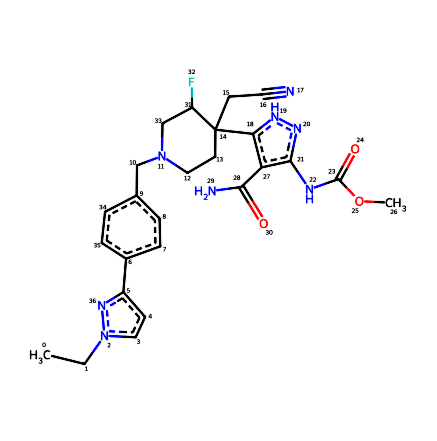 CCn1ccc(-c2ccc(CN3CCC(CC#N)(c4[nH]nc(NC(=O)OC)c4C(N)=O)C(F)C3)cc2)n1